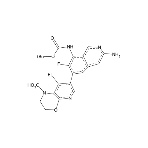 CCc1c(-c2cc3cc(N)ncc3c(NC(=O)OC(C)(C)C)c2F)cnc2c1N(C(=O)O)CCO2